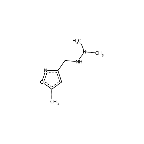 Cc1cc(CNN(C)C)no1